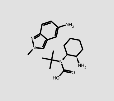 CC(C)(C)N(C(=O)O)[C@H]1CCCC[C@H]1N.Cn1cc2cc(N)ccc2n1